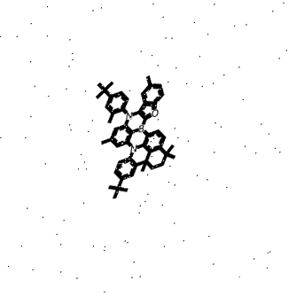 Cc1cc2c3c(c1)N(c1ccc(C(C)(C)C)cc1C)c1c(oc4ccc(C)cc14)B3c1ccc3c4c1N2c1ccc(C(C)(C)C)cc1C4(C)CCC3(C)C